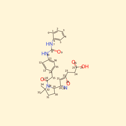 Cc1ccccc1NC(=O)Nc1ccc(CC(=O)N2C(c3cc(CCC(=O)O)on3)CCC2(C)C)cc1